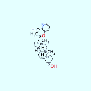 Cc1ncccc1O[C@@H](C)[C@H]1CC[C@H]2[C@@H]3CC=C4C[C@@H](O)CC[C@]4(C)[C@H]3CC[C@]12C